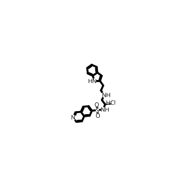 C[C@H](CNCCc1cc2ccccc2[nH]1)NS(=O)(=O)c1ccc2cnccc2c1.Cl